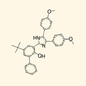 COc1ccc(-c2nc(-c3cc(C(C)(C)C)cc(-c4ccccc4)c3O)[nH]c2-c2ccc(OC)cc2)cc1